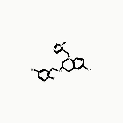 Cn1cncc1CN1CC(NCc2cc(Br)ccc2F)Cc2cc(C#N)ccc21